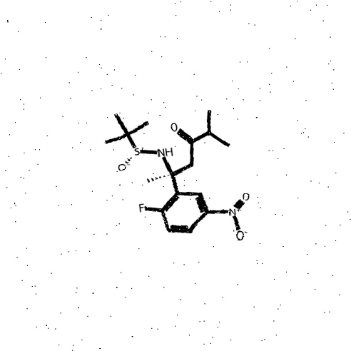 CC(C)C(=O)C[C@](C)(N[S@+]([O-])C(C)(C)C)c1cc([N+](=O)[O-])ccc1F